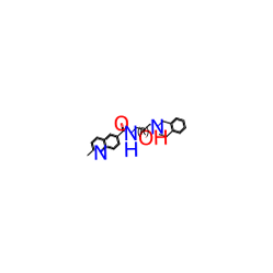 Cc1ccc2cc(C(=O)NC[C@@H](O)CN3CCc4ccccc4C3)ccc2n1